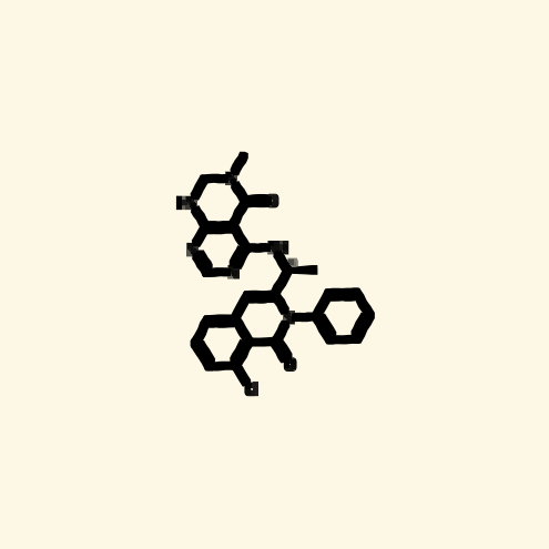 C[C@H](Nc1ncnc2c1C(=O)N(C)CN2)c1cc2cccc(Cl)c2c(=O)n1-c1ccccc1